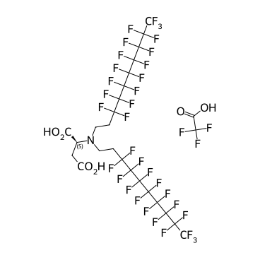 O=C(O)C(F)(F)F.O=C(O)C[C@@H](C(=O)O)N(CCC(F)(F)C(F)(F)C(F)(F)C(F)(F)C(F)(F)C(F)(F)C(F)(F)C(F)(F)F)CCC(F)(F)C(F)(F)C(F)(F)C(F)(F)C(F)(F)C(F)(F)C(F)(F)C(F)(F)F